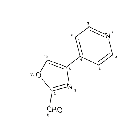 O=Cc1nc(-c2ccncc2)co1